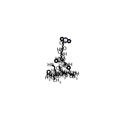 C#CCCCON(C(=O)[C@@H](NC(=O)[C@H]1CCCCN1C)[C@@H](C)CC)[C@H](C[C@@H](OC(C)=O)c1nc(C(=O)N[C@@H](Cc2ccc(NC(=O)CNC(=O)[C@H](Cc3ccccc3)NC(=O)CNC(=O)CNC(=O)CCC(=O)N3Cc4ccccc4/C=C\c4ccccc43)cc2)CC(C)(C)C(=O)O)cs1)C(C)C